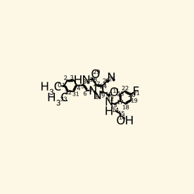 Cc1ccc(-c2cn3nc(C(=O)N[C@@H](CCO)c4ccc(F)cc4)c(C#N)c3c(=O)[nH]2)cc1C